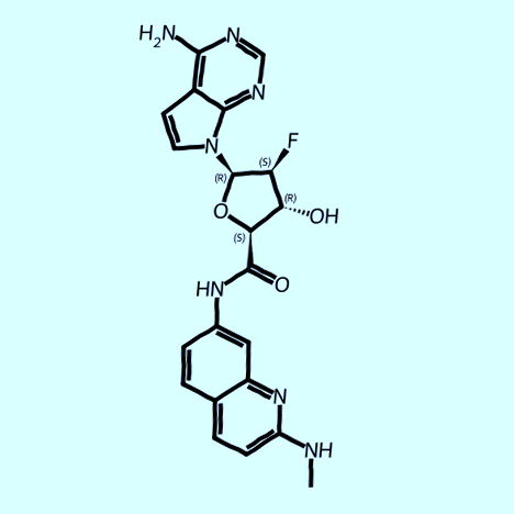 CNc1ccc2ccc(NC(=O)[C@H]3O[C@@H](n4ccc5c(N)ncnc54)[C@@H](F)[C@@H]3O)cc2n1